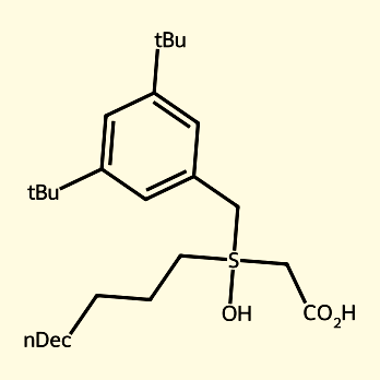 CCCCCCCCCCCCCS(O)(CC(=O)O)Cc1cc(C(C)(C)C)cc(C(C)(C)C)c1